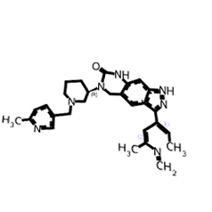 C=N/C(C)=C\C(=C/C)c1n[nH]c2cc3c(cc12)CN([C@@H]1CCCN(Cc2ccc(C)nc2)C1)C(=O)N3